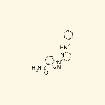 NC(=O)c1cccc2c1cnn2-c1cccc(NCc2ccccc2)n1